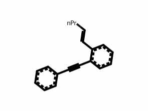 CCC/C=C/c1ccccc1C#Cc1ccccc1